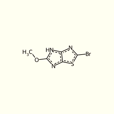 COc1nc2sc(Br)nc2[nH]1